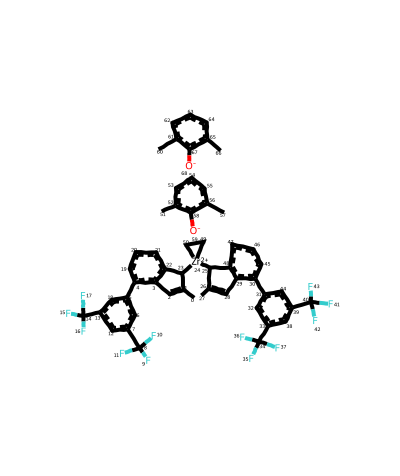 CC1=Cc2c(-c3cc(C(F)(F)F)cc(C(F)(F)F)c3)cccc2[CH]1[Zr+2]1([CH]2C(C)=Cc3c(-c4cc(C(F)(F)F)cc(C(F)(F)F)c4)cccc32)[CH2][CH2]1.Cc1cccc(C)c1[O-].Cc1cccc(C)c1[O-]